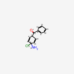 NC1(Cl)C=CC(C(=O)c2ccccc2)C=C1